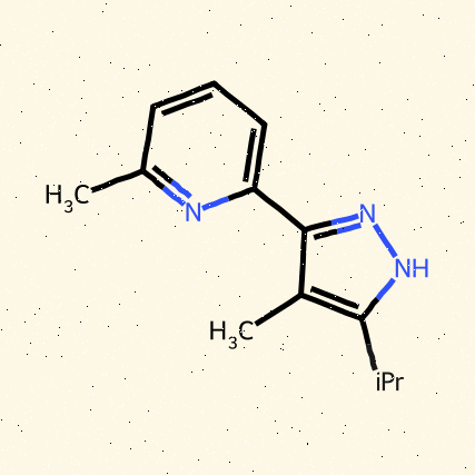 Cc1cccc(-c2n[nH]c(C(C)C)c2C)n1